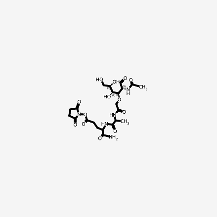 CC(=O)N[C@@H](C=O)[C@@H](OCC(=O)NC(C)C(=O)NC(CCC(=O)ON1C(=O)CCC1=O)C(N)=O)[C@H](O)[C@H](O)CO